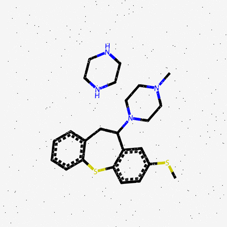 C1CNCCN1.CSc1ccc2c(c1)C(N1CCN(C)CC1)Cc1ccccc1S2